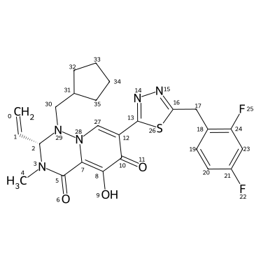 C=C[C@H]1N(C)C(=O)c2c(O)c(=O)c(-c3nnc(Cc4ccc(F)cc4F)s3)cn2N1CC1CCCC1